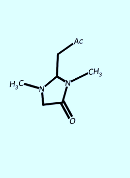 CC(=O)CC1N(C)CC(=O)N1C